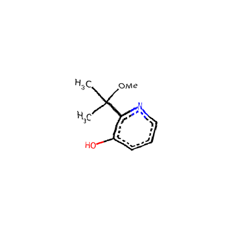 COC(C)(C)c1ncccc1O